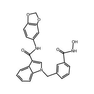 O=C(NO)c1cccc(Cn2cc(C(=O)Nc3ccc4c(c3)OCO4)c3ccccc32)c1